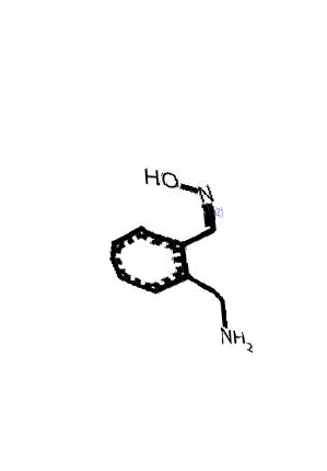 NCc1ccccc1/C=N\O